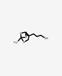 CC12OCC(CCCO)=C(O1)O2